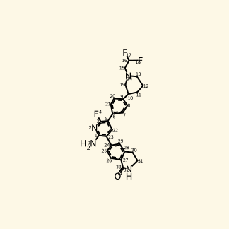 Nc1nc(F)c(-c2ccc(C3CCCN(CC(F)F)C3)cc2)cc1-c1ccc2c(c1)CCNC2=O